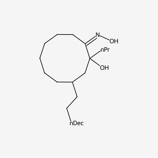 CCCCCCCCCCCCC1CCCCCCC(=NO)C(O)(CCC)C1